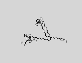 CCCCCCCCC1C(CCCCCC)CCC(CCCCCCCCC(C)(C)NC(=O)CC)C1CCCCCCCCN1C(=O)C=CC1=O